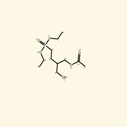 CCOP(=O)(CCC(CO)COC(C)=O)OCC